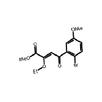 CCO/C(=C\C(=O)c1cc(OC)ccc1Br)C(=O)OC